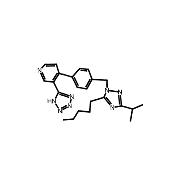 CCCCCc1nc(C(C)C)nn1Cc1ccc(-c2ccncc2-c2nnn[nH]2)cc1